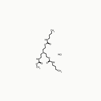 CCCCNC(=O)OCCN(CCNC(=O)OC)CCOC(=O)NCCCC.Cl